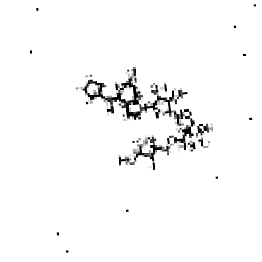 O=P(O)(O)C(CO)(COCC1=NOC(O)N1)OC[C@H]1O[C@@H](n2ncc3c(NC4CCCC4)nc(Cl)nc32)[C@H](O)[C@@H]1O